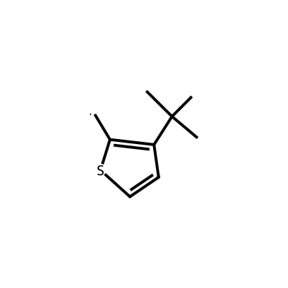 [CH2]c1sccc1C(C)(C)C